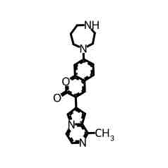 Cc1nccn2cc(-c3cc4ccc(N5CCCNCC5)cc4oc3=O)cc12